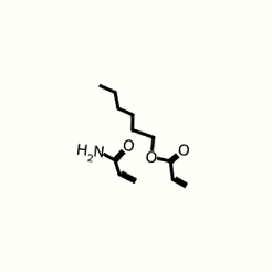 C=CC(=O)OCCCCCC.C=CC(N)=O